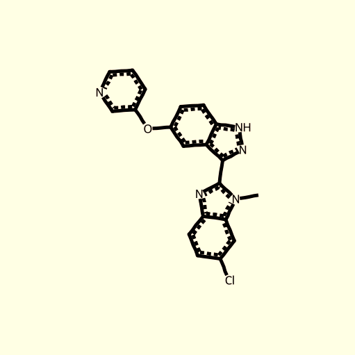 Cn1c(-c2n[nH]c3ccc(Oc4cccnc4)cc23)nc2ccc(Cl)cc21